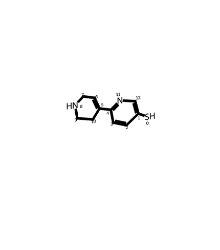 Sc1ccc(C2=CCNCC2)nc1